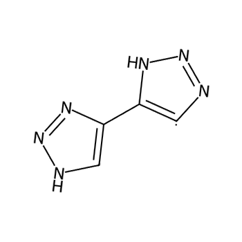 [c]1nn[nH]c1-c1c[nH]nn1